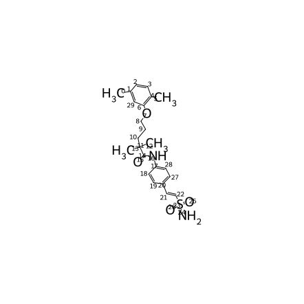 Cc1ccc(C)c(OCCCC(C)(C)C(=O)Nc2ccc(/C=C/S(N)(=O)=O)cc2)c1